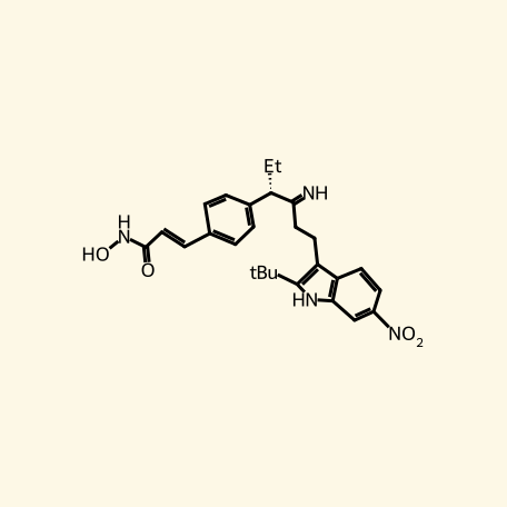 CC[C@H](C(=N)CCc1c(C(C)(C)C)[nH]c2cc([N+](=O)[O-])ccc12)c1ccc(/C=C/C(=O)NO)cc1